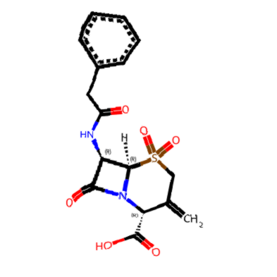 C=C1CS(=O)(=O)[C@@H]2[C@H](NC(=O)Cc3ccccc3)C(=O)N2[C@H]1C(=O)O